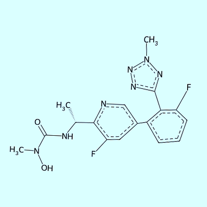 C[C@@H](NC(=O)N(C)O)c1ncc(-c2cccc(F)c2-c2nnn(C)n2)cc1F